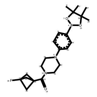 CC1(C)OB(c2ccc(N3CCN(C(=O)C45CC(F)(C4)C5)CC3)cc2)OC1(C)C